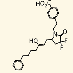 O=C(O)c1ccc(CCN2C(=O)C(F)(F)CC2CC=C(O)CCCCc2ccccc2)cc1